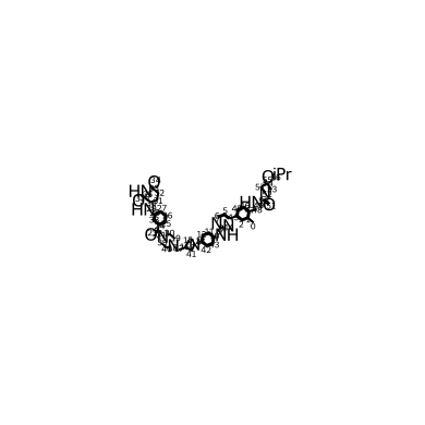 Cc1cc(-c2ccnc(Nc3ccc(N4CC(CN5CCN(C(=O)c6cccc(NC7CCC(=O)NC7=O)c6)CC5)C4)cc3)n2)ccc1CNC(=O)N1CC(OC(C)C)C1